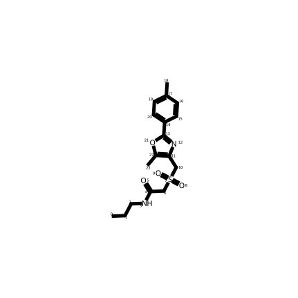 CCCNC(=O)CS(=O)(=O)Cc1nc(-c2ccc(C)cc2)oc1C